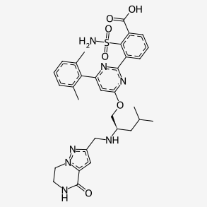 Cc1cccc(C)c1-c1cc(OC[C@@H](CC(C)C)NCc2cc3n(n2)CCNC3=O)nc(-c2cccc(C(=O)O)c2S(N)(=O)=O)n1